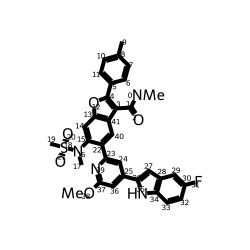 CNC(=O)c1c(-c2ccc(C)cc2)oc2cc(N(C)S(C)(=O)=O)c(-c3cc(-c4cc5cc(F)ccc5[nH]4)cc(OC)n3)cc12